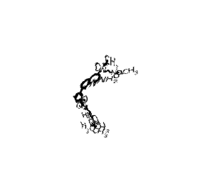 CCCN(CCCNC(=O)OCC)C(=O)C1=Cc2ccc(-c3cccc(S(=O)(=O)N4CC(CNC(=O)OC(C)(C)C)C4)c3)cc2N=C(N)C1